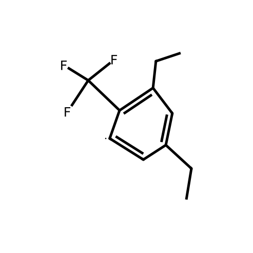 CCc1c[c]c(C(F)(F)F)c(CC)c1